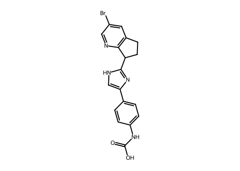 O=C(O)Nc1ccc(-c2c[nH]c(C3CCc4cc(Br)cnc43)n2)cc1